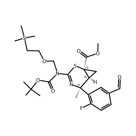 COC(=O)[C@]12C[C@H]1[C@@](C)(c1cc(C=O)ccc1F)N=C(N(COCC[Si](C)(C)C)C(=O)OC(C)(C)C)S2